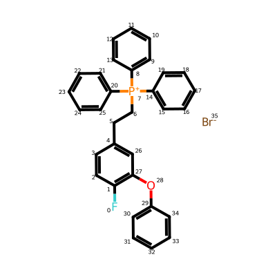 Fc1ccc(CC[P+](c2ccccc2)(c2ccccc2)c2ccccc2)cc1Oc1ccccc1.[Br-]